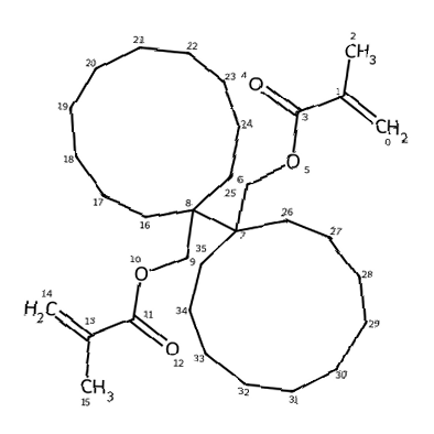 C=C(C)C(=O)OCC1(C2(COC(=O)C(=C)C)CCCCCCCCCC2)CCCCCCCCCC1